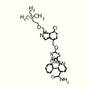 COc1ccccc1-c1c(C(N)=O)ccnc1-c1nnc(OCc2ccc(Cl)c3c2cnn3COCC[Si](C)(C)C)s1